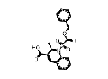 C[C@@H]1C(C(=O)O)=Cc2ccccc2N1S(=O)(=O)C(=O)OCc1ccccc1